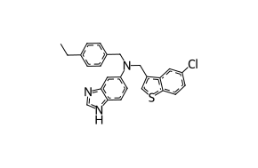 CCc1ccc(CN(Cc2csc3ccc(Cl)cc23)c2ccc3[nH]cnc3c2)cc1